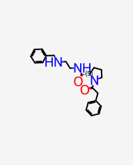 O=C(NCCNCc1ccccc1)[C@@H]1CCCN1C(=O)Cc1ccccc1